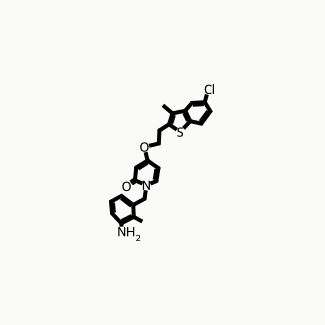 Cc1c(N)cccc1Cn1ccc(OCCc2sc3ccc(Cl)cc3c2C)cc1=O